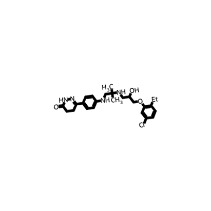 CCc1ccc(Cl)cc1OCC(O)CNC(C)(C)CNc1ccc(C2=NNC(=O)CC2)cc1